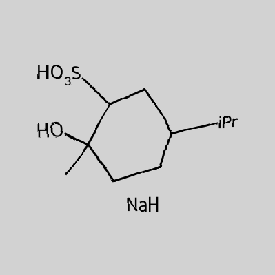 CC(C)C1CCC(C)(O)C(S(=O)(=O)O)C1.[NaH]